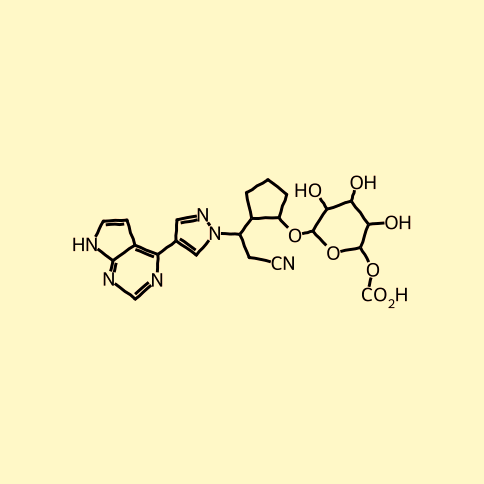 N#CCC(C1CCCC1OC1OC(OC(=O)O)C(O)C(O)C1O)n1cc(-c2ncnc3[nH]ccc23)cn1